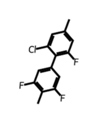 Cc1cc(F)c(-c2cc(F)c(C)c(F)c2)c(Cl)c1